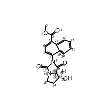 COC(=O)c1ccc(N2C(=O)[C@H]3[C@H](O)CCN3C2=O)c2ccccc12